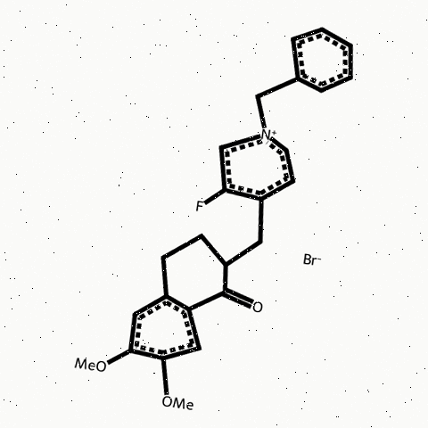 COc1cc2c(cc1OC)C(=O)C(Cc1cc[n+](Cc3ccccc3)cc1F)CC2.[Br-]